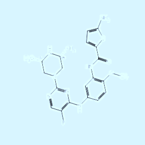 COc1ccc(Nc2nc(N3C[C@@H](C)N[C@@H](C)C3)ncc2F)cc1NC(=O)c1ccc(N)s1